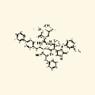 CCC(C)CN(C(=O)NC(Cc1ccc(-c2ccccn2)cc1)CC(O)C(Cc1ccccc1)NC(=O)C(C1CNC(=O)N1Cc1cccc(C)n1)C(C)(C)C)C(=O)OC